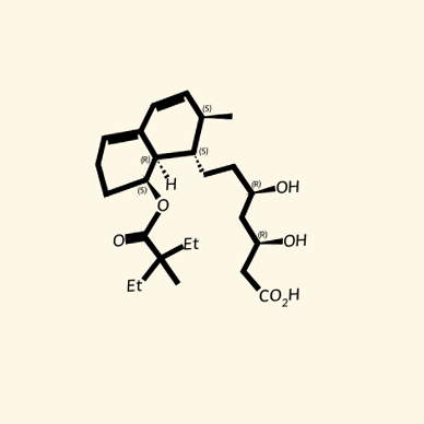 CCC(C)(CC)C(=O)O[C@H]1CCC=C2C=C[C@@H](C)[C@H](CC[C@@H](O)C[C@@H](O)CC(=O)O)[C@H]21